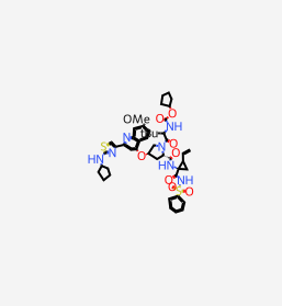 C=CC1C[C@]1(NC(=O)[C@@H]1C[C@@H](Oc2cc(-c3csc(NC4CCCC4)n3)nc3cc(OC)ccc23)CN1C(=O)C(NC(=O)OC1CCCC1)C(C)(C)C)C(=O)NS(=O)(=O)c1ccccc1